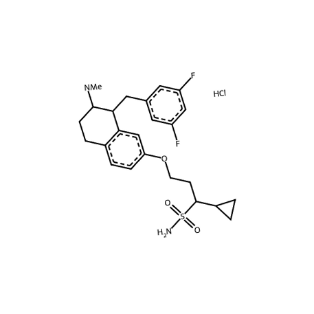 CNC1CCc2ccc(OCCC(C3CC3)S(N)(=O)=O)cc2C1Cc1cc(F)cc(F)c1.Cl